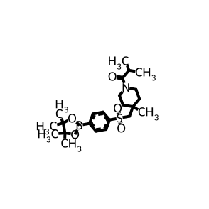 CC(C)C(=O)N1CCC(C)(CS(=O)(=O)c2ccc(B3OC(C)(C)C(C)(C)O3)cc2)CC1